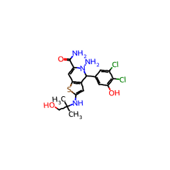 CC(C)(CO)Nc1cc2c(s1)C=C(C(N)=O)N(N)C2c1cc(O)c(Cl)c(Cl)c1